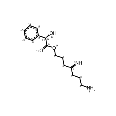 N=C(CCCN)CCCOC(=O)[C@H](O)c1ccccc1